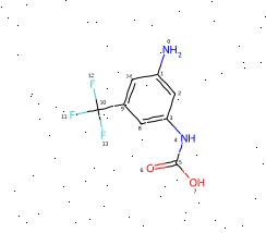 Nc1cc(NC(=O)O)cc(C(F)(F)F)c1